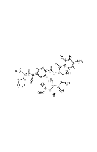 CN1c2c(nc(N)[nH]c2=O)NC[C@@H]1CNc1ccc(C(=O)NC(CCC(=O)O)C(=O)O)cc1.N[C@@H](C=O)[C@@H](O)[C@H](O)[C@H](O)CO